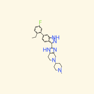 CCc1ccc(F)cc1-c1ccc2c(-c3nc4c([nH]3)CCN(C3CCN(C)CC3)C4)n[nH]c2c1